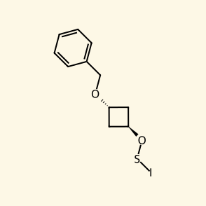 ISO[C@H]1C[C@H](OCc2ccccc2)C1